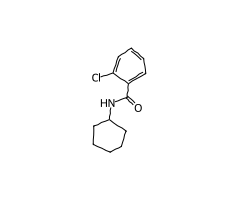 O=C(NC1CCCCC1)c1ccccc1Cl